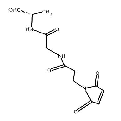 C[C@@H](C=O)NC(=O)CNC(=O)CCN1C(=O)C=CC1=O